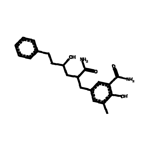 Cc1cc(CC(CC(O)[CH]Cc2ccccc2)C(N)=O)cc(C(N)=O)c1O